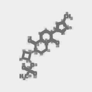 Cc1cn(-c2ccc3n(c2=O)CCN([C@H]2CC[C@H]2OS(C)(=O)=O)C3=O)cn1